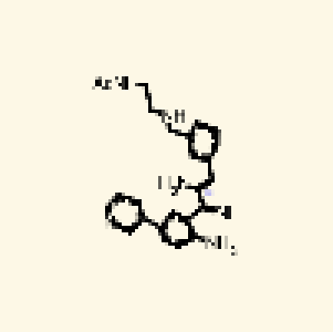 CC(=O)NCCNCc1cccc(/C=C(\N)C(=N)c2cc(-c3cccnc3)ccc2N)c1